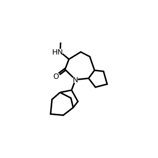 CNC1CCC2CCCC2N(C2CC3CCCC2C3)C1=O